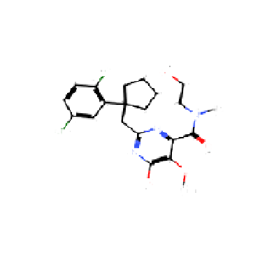 CCCCOc1c(O)nc(CC2(c3cc(Cl)ccc3Cl)CCCC2)nc1C(=O)N(CCO)C(C)C